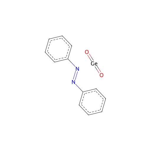 [O]=[Ge]=[O].c1ccc(/N=N/c2ccccc2)cc1